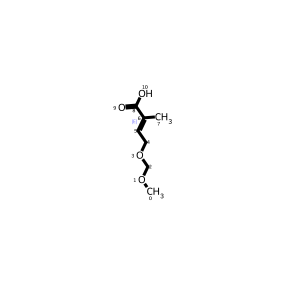 COCOC/C=C(\C)C(=O)O